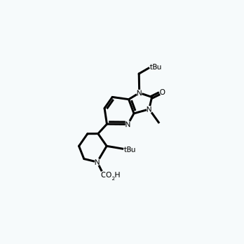 Cn1c(=O)n(CC(C)(C)C)c2ccc(C3CCCN(C(=O)O)C3C(C)(C)C)nc21